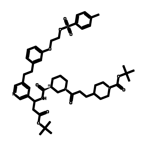 Cc1ccc(S(=O)(=O)OCCOc2cccc(CCc3cncc(C(CC(=O)OC(C)(C)C)NC(=O)[C@@H]4CCCN(C(=O)CCC5CCN(C(=O)OC(C)(C)C)CC5)C4)c3)c2)cc1